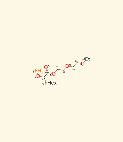 CCCCCCC(OP)C(=O)OCCOCCOCC